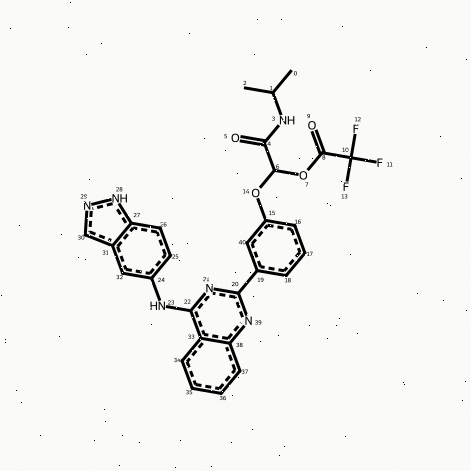 CC(C)NC(=O)C(OC(=O)C(F)(F)F)Oc1cccc(-c2nc(Nc3ccc4[nH]ncc4c3)c3ccccc3n2)c1